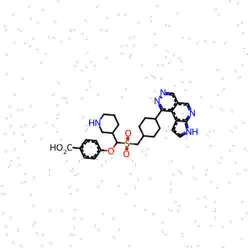 O=C(O)c1ccc(OC(C2CCCNC2)S(=O)(=O)CC2CCC(c3nncc4cnc5[nH]ccc5c34)CC2)cc1